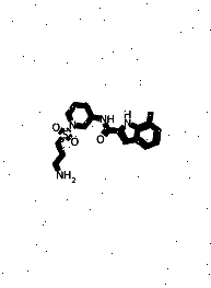 Cc1cccc2cc(C(=O)NC3CCCN(S(=O)(=O)CCCN)C3)[nH]c12